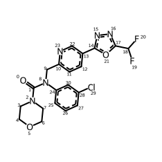 O=C(N1CCOCC1)N(Cc1ccc(-c2nnc(C(F)F)o2)cn1)c1cccc(Cl)c1